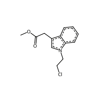 COC(=O)Cc1cn(CCCl)c2ccccc12